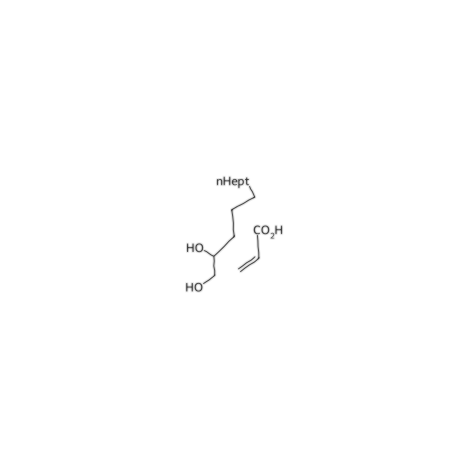 C=CC(=O)O.CCCCCCCCCCC(O)CO